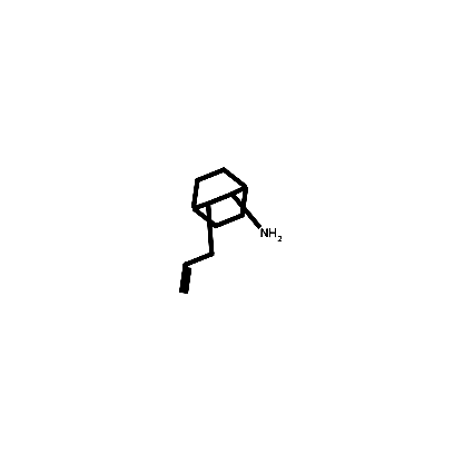 C=CCC1C2CCC(CC2)C1N